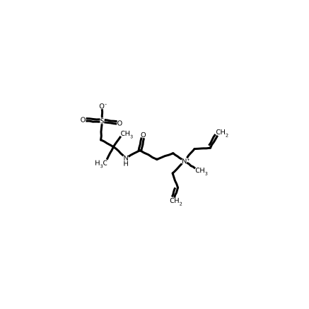 C=CC[N+](C)(CC=C)CCC(=O)NC(C)(C)CS(=O)(=O)[O-]